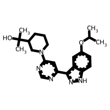 CC(C)Oc1ccc2[nH]nc(-c3cc(N4CCCC(C(C)(C)O)C4)ncn3)c2c1